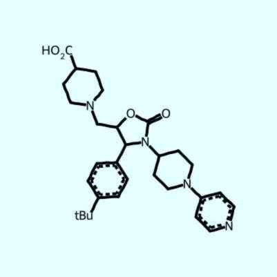 CC(C)(C)c1ccc(C2C(CN3CCC(C(=O)O)CC3)OC(=O)N2C2CCN(c3ccncc3)CC2)cc1